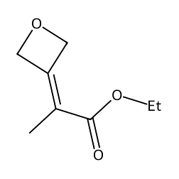 CCOC(=O)C(C)=C1COC1